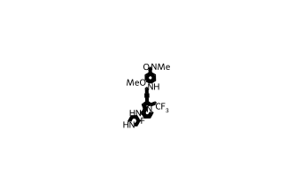 CNC(=O)c1ccc(NCC#Cc2cc3c(N[C@@H]4CCNC[C@@H]4F)cccn3c2CC(F)(F)F)c(OC)c1